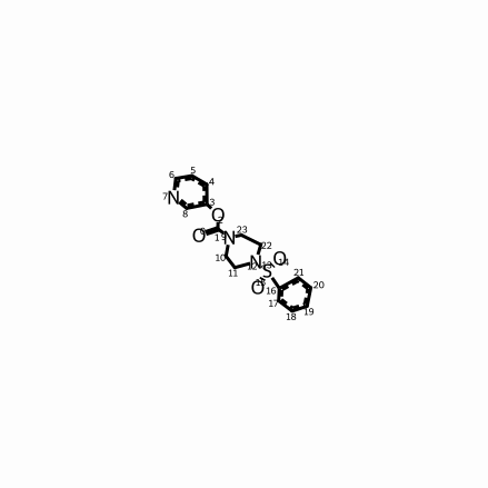 O=C(Oc1cccnc1)N1CCN(S(=O)(=O)c2ccccc2)CC1